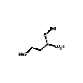 CSCCC(ON=O)C(=O)O